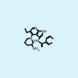 C=C(Nc1c[nH]c2ncc(CC)c(N3CCCC(N)C3)c12)C(/C=C\C)=C/C